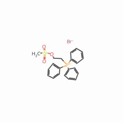 CS(=O)(=O)OCC[P+](c1ccccc1)(c1ccccc1)c1ccccc1.[Br-]